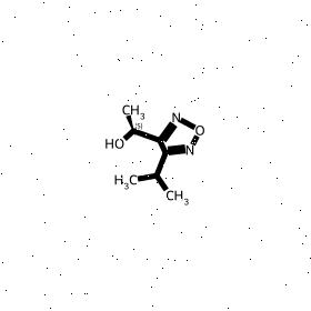 CC(C)c1nonc1[C@H](C)O